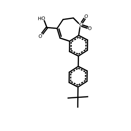 CC(C)(C)c1ccc(-c2ccc3c(c2)C=C(C(=O)O)CCS3(=O)=O)cc1